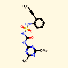 CC#Cc1ccccc1NS(=O)(=O)NC(=O)Nc1nc(C)nc(OC)n1